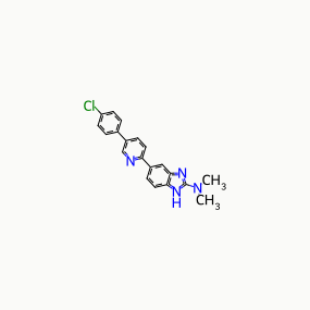 CN(C)c1nc2cc(-c3ccc(-c4ccc(Cl)cc4)cn3)ccc2[nH]1